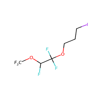 FC(OC(F)(F)F)C(F)(F)OCCCI